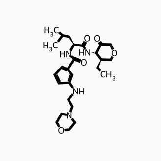 CC[C@@H]1COCC(=O)[C@H]1NC(=O)[C@H](CC(C)C)NC(=O)c1cccc(NCCN2CCOCC2)c1